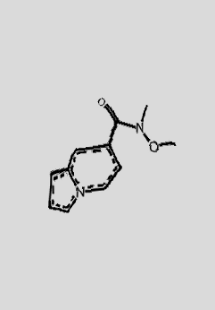 CON(C)C(=O)c1ccn2cccc2c1